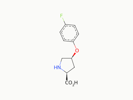 O=C(O)[C@@H]1C[C@H](Oc2ccc(F)cc2)CN1